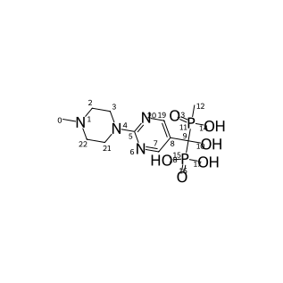 CN1CCN(c2ncc(C(O)(P(C)(=O)O)P(=O)(O)O)cn2)CC1